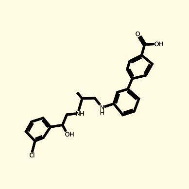 CC(CNc1cccc(-c2ccc(C(=O)O)cc2)c1)NCC(O)c1cccc(Cl)c1